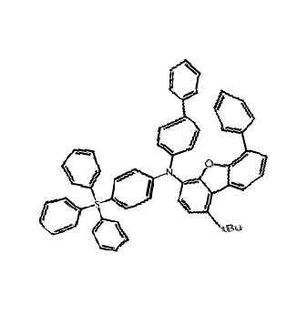 CC(C)(C)c1ccc(N(c2ccc(-c3ccccc3)cc2)c2ccc(S(c3ccccc3)(c3ccccc3)c3ccccc3)cc2)c2oc3c(-c4ccccc4)cccc3c12